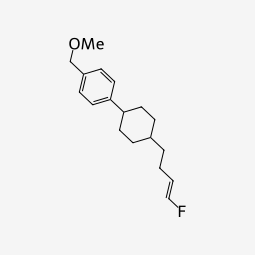 COCc1ccc(C2CCC(CCC=CF)CC2)cc1